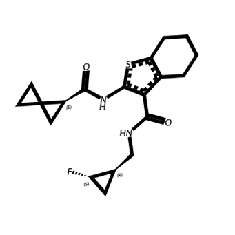 O=C(NC[C@H]1C[C@@H]1F)c1c(NC(=O)[C@H]2CC23CC3)sc2c1CCCC2